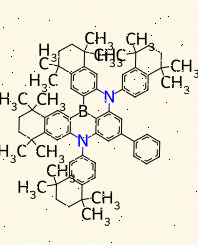 CC1(C)CCC(C)(C)c2cc(N3c4cc5c(cc4B4c6cc7c(cc6N(c6ccc8c(c6)C(C)(C)CCC8(C)C)c6cc(-c8ccccc8)cc3c64)C(C)(C)CCC7(C)C)C(C)(C)CCC5(C)C)ccc21